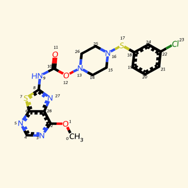 COc1ncnc2sc(NC(=O)ON3CCN(Sc4cccc(Cl)c4)CC3)nc12